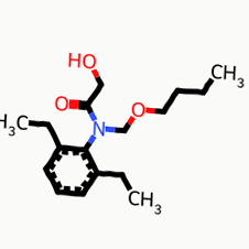 CCCCOCN(C(=O)CO)c1c(CC)cccc1CC